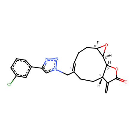 C=C1C(=O)O[C@H]2[C@H]1CC/C(Cn1cc(-c3cccc(Cl)c3)nn1)=C\CC[C@@]1(C)O[C@@H]21